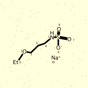 CCOCCCNS(=O)(=O)[O-].[Na+]